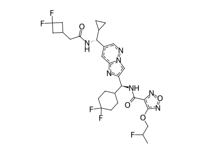 CC(F)COc1nonc1C(=O)N[C@H](c1cn2ncc([C@H](NC(=O)CC3CC(F)(F)C3)C3CC3)cc2n1)C1CCC(F)(F)CC1